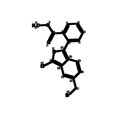 COC(=O)c1ccccc1-c1oc(Cl)c2cc(CBr)ccc12